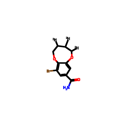 [2H]C1COc2c(Br)cc(C(N)=O)cc2OC([2H])C1[2H]